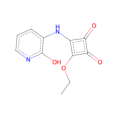 CCOc1c(Nc2cccnc2O)c(=O)c1=O